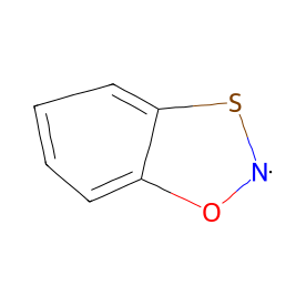 c1ccc2c(c1)O[N]S2